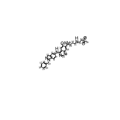 COc1cc2c(Nc3ccc4c(cnn4Cc4ccccc4)c3)ncnc2cc1CCCCNCCS(C)(=O)=O